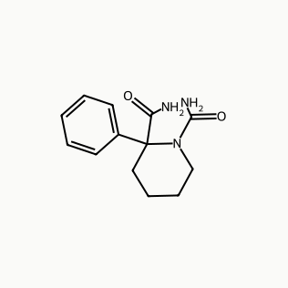 NC(=O)N1CCCCC1(C(N)=O)c1ccccc1